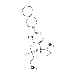 CCCC(F)(F)C[C@H](NC(=O)N1CCC2(CCCCC2)CC1)C(=O)NC1(N)CC1